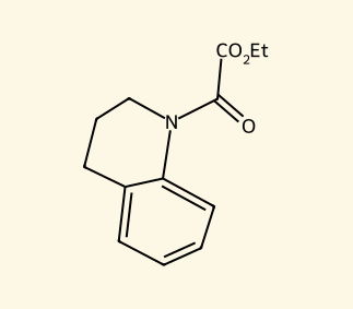 CCOC(=O)C(=O)N1CCCc2ccccc21